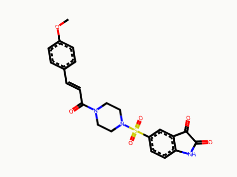 COc1ccc(/C=C/C(=O)N2CCN(S(=O)(=O)c3ccc4c(c3)C(=O)C(=O)N4)CC2)cc1